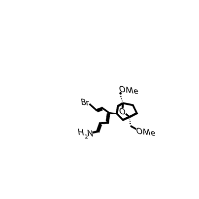 COC[C@@]12CC[C@@](COC)(C[C@@H](C(=C/C=C/N)/C=C/Br)C1)O2